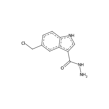 NNC(=O)c1c[nH]c2ccc(CCl)cc12